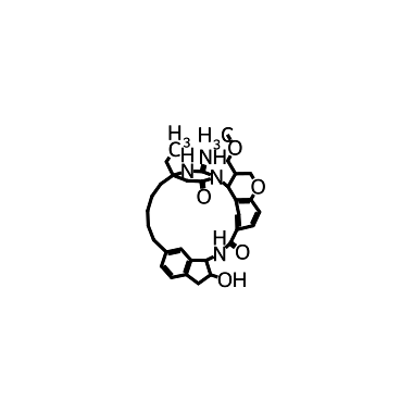 CCC12CCCCCc3ccc4c(c3)C(NC(=O)c3ccc5c(c3)C(C(COC)CO5)N(C(=N)N1)C(=O)C2)C(O)C4